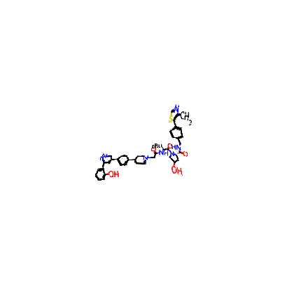 Cc1ncsc1-c1ccc(CNC(=O)[C@@H]2C[C@@H](O)CN2C(=O)[C@@H](NC(=O)CN2CCC(c3ccc(-c4cnnc(-c5ccccc5O)c4)cc3)CC2)C(C)(C)C)cc1